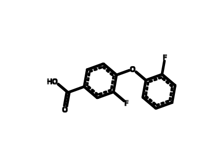 O=C(O)c1ccc(Oc2ccccc2F)c(F)c1